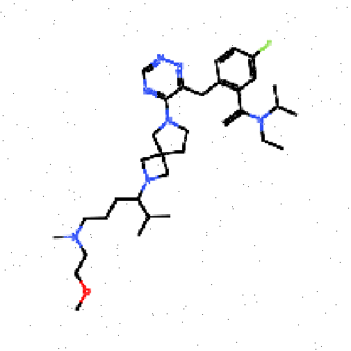 C=C(c1cc(F)ccc1Cc1nncnc1N1CCC2(C1)CN(C(CCCN(C)CCOC)C(C)C)C2)N(CC)C(C)C